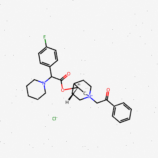 O=C(C[N+]12CCC(CC1)[C@@H](OC(=O)C(c1ccc(F)cc1)N1CCCCC1)C2)c1ccccc1.[Cl-]